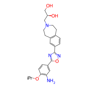 CC(C)Oc1ccc(-c2nc(-c3ccc4c(c3)CCN(C[C@H](O)CO)CC4)no2)cc1N